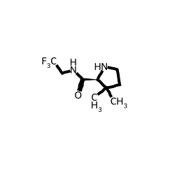 CC1(C)CCN[C@@H]1C(=O)NCC(F)(F)F